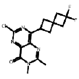 Cc1nc2c(C3CC4(C3)CC(F)(F)C4)nc(Cl)nc2c(=O)n1C